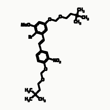 COc1cc(OCOCC[Si](C)(C)C)cc(C=Cc2ccc(OCOCC[Si](C)(C)C)c([N+](=O)[O-])c2)c1Br